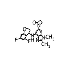 Cc1nc2c(NC3CCOc4cc(F)cc(F)c43)cc(N3CCC3=O)cc2n1C